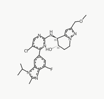 COCc1cc2n(n1)CC[C@H](O)[C@H]2Nc1ncc(Cl)c(-c2cc(F)c3nc(C)n(C(C)C)c3c2)n1